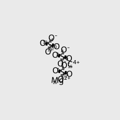 O=S(=O)([O-])[O-].O=S(=O)([O-])[O-].O=S(=O)([O-])[O-].[C+4].[Mg+2]